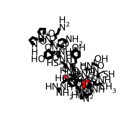 C[C@H](NC(=O)[C@H](CS)NC(=O)[C@H](CO)NC(=O)[C@H](C)NC(=O)[C@H]1CCCN1C(=O)[C@H](CCN)NC(=O)[C@H](CCCNC(=N)N)NC(=O)[C@H](Cc1ccc(O)cc1)NC(=O)[C@H](CS)NC(=O)[C@H](Cc1ccc(O)cc1)NC(=O)[C@H](CCC(N)=O)NC(=O)[C@H](CCCCN)NC(=O)[C@H]1CCCN1C(=O)[C@@H]1CCCN1)C(=O)N[C@@H](Cc1c[nH]cn1)C(=O)N[C@@H](Cc1ccc(O)cc1)C(=O)O